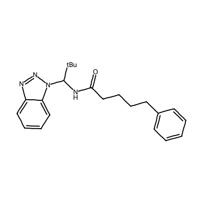 CC(C)(C)C(NC(=O)CCCCc1ccccc1)n1nnc2ccccc21